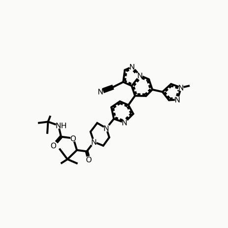 Cn1cc(-c2cc(-c3ccc(N4CCN(C(=O)C(OC(=O)NC(C)(C)C)C(C)(C)C)CC4)nc3)c3c(C#N)cnn3c2)cn1